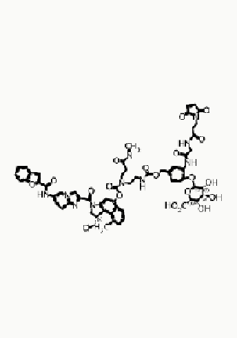 C=NC(=O)CCN(CCNC(=O)OCc1ccc(O[C@@H]2O[C@H](C(=O)O)[C@@H](O)[C@H](O)[C@H]2O)c(NC(=O)CNC(=O)CCN2C(=O)C=CC2=O)c1)C(=O)Oc1cc2c(c3c(C)cccc13)[C@H](CCl)CN2C(=O)c1cn2cc(NC(=O)c3cc4ccccc4o3)ccc2n1